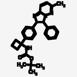 CC1=NN2C(=NC(c3ccc(C4(NC(=O)OC(C)(C)C)CCC4)cc3)C2c2ccccc2)C=C1